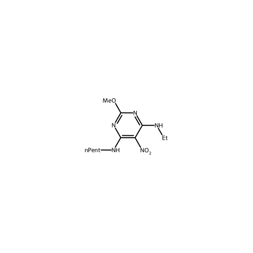 CCCCCNc1nc(OC)nc(NCC)c1[N+](=O)[O-]